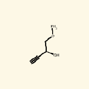 C#C[C@H](O)COP